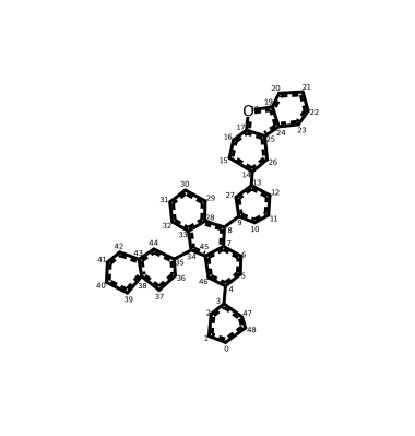 c1ccc(-c2ccc3c(-c4cccc(-c5ccc6oc7ccccc7c6c5)c4)c4ccccc4c(-c4ccc5ccccc5c4)c3c2)cc1